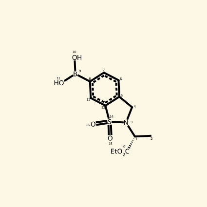 CCOC(=O)[C@@H](C)N1Cc2ccc(B(O)O)cc2S1(=O)=O